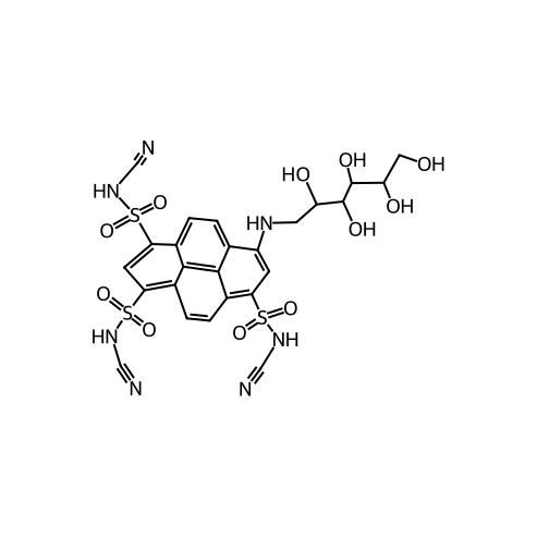 N#CNS(=O)(=O)c1cc(NCC(O)C(O)C(O)C(O)CO)c2ccc3c(S(=O)(=O)NC#N)cc(S(=O)(=O)NC#N)c4ccc1c2c34